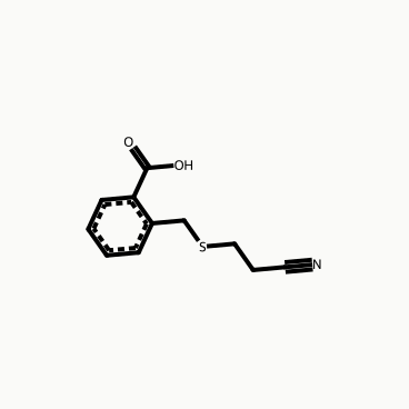 N#CCCSCc1ccccc1C(=O)O